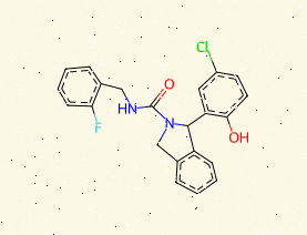 O=C(NCc1ccccc1F)N1Cc2ccccc2C1c1cc(Cl)ccc1O